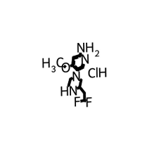 COc1cc(N)ncc1N1CCNC(CC(F)F)C1.Cl